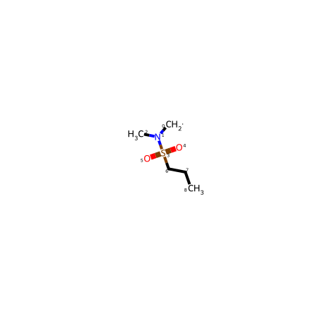 [CH2]N(C)S(=O)(=O)CCC